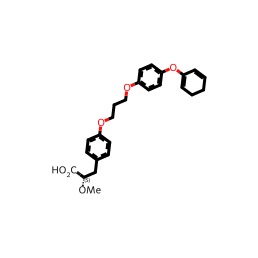 CO[C@@H](Cc1ccc(OCCCOc2ccc(OC3=CCCC=C3)cc2)cc1)C(=O)O